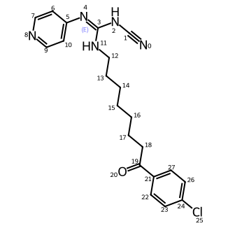 N#CN/C(=N/c1ccncc1)NCCCCCCCC(=O)c1ccc(Cl)cc1